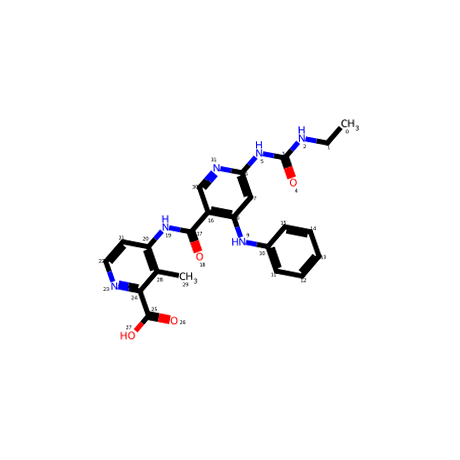 CCNC(=O)Nc1cc(Nc2ccccc2)c(C(=O)Nc2ccnc(C(=O)O)c2C)cn1